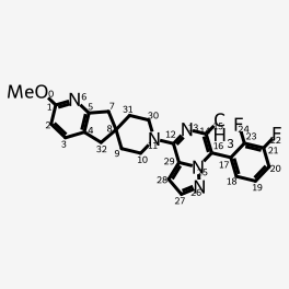 COc1ccc2c(n1)CC1(CCN(c3nc(C)c(-c4cccc(F)c4F)n4nccc34)CC1)C2